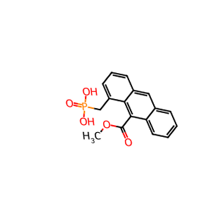 COC(=O)c1c2ccccc2cc2cccc(CP(=O)(O)O)c12